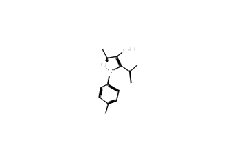 Cc1ccc(-n2nc(C)c(O)c2C(C)C)cc1